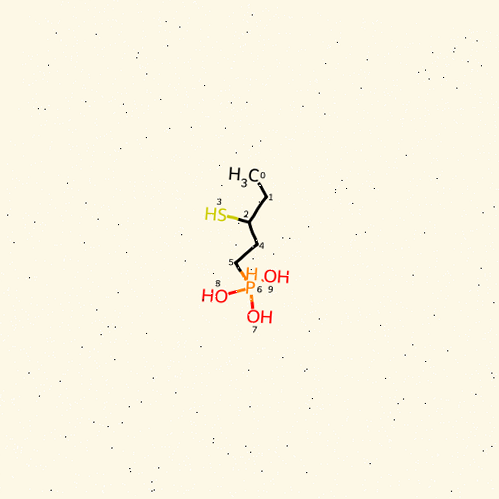 CCC(S)CC[PH](O)(O)O